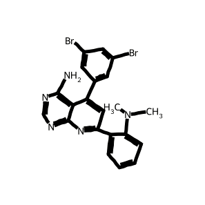 CN(C)c1ccccc1-c1cc(-c2cc(Br)cc(Br)c2)c2c(N)ncnc2n1